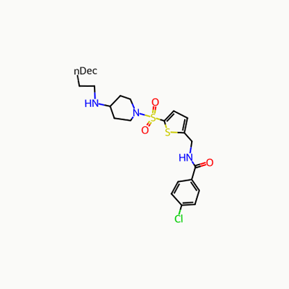 CCCCCCCCCCCCNC1CCN(S(=O)(=O)c2ccc(CNC(=O)c3ccc(Cl)cc3)s2)CC1